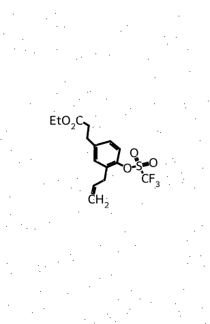 C=CCc1cc(CCC(=O)OCC)ccc1OS(=O)(=O)C(F)(F)F